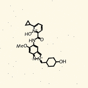 COc1cc2c(cc1NC(=O)c1cccc(C3CC3)[n+]1O)=C/[N+](=C\C1CCC(O)CC1)N=2